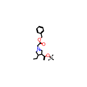 C=C(O[Si](C)(C)C)C1CN(CC(=O)OCc2ccccc2)CC1CC